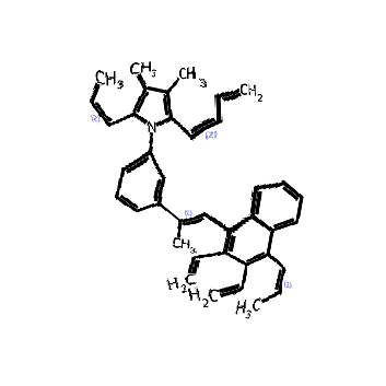 C=C/C=C\c1c(C)c(C)c(/C=C\C)n1-c1cccc(/C(C)=C/c2c(C=C)c(C=C)c(/C=C\C)c3ccccc23)c1